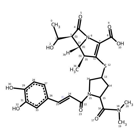 CC(O)[C@H]1C(=O)N2C(C(=O)O)=C(SC3CC(C(=O)N(C)C)N(C(=O)/C=C/c4ccc(O)c(O)c4)C3)[C@@H](C)[C@H]12